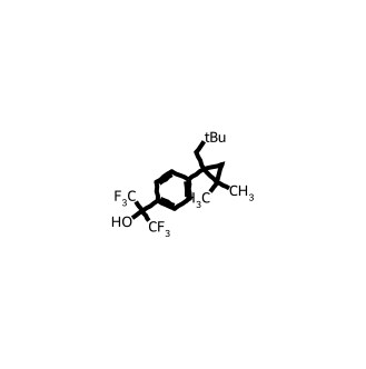 CC(C)(C)CC1(c2ccc(C(O)(C(F)(F)F)C(F)(F)F)cc2)CC1(C)C